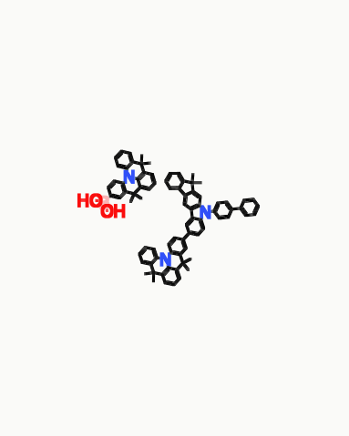 CC1(C)c2ccccc2-c2cc3c4cc(-c5ccc6c(c5)C(C)(C)c5cccc7c5N6c5ccccc5C7(C)C)ccc4n(-c4ccc(-c5ccccc5)cc4)c3cc21.CC1(C)c2ccccc2N2c3ccc(B(O)O)cc3C(C)(C)c3cccc1c32